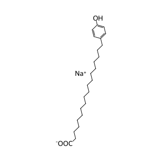 O=C([O-])CCCCCCCCCCCCCCCCCc1ccc(O)cc1.[Na+]